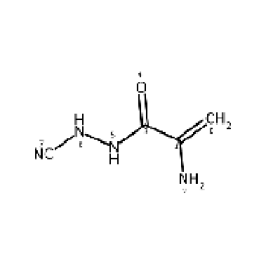 C=C(N)C(=O)NNC#N